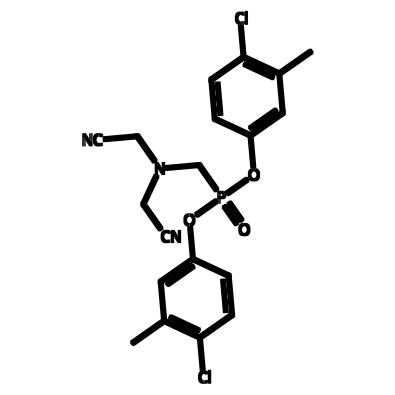 Cc1cc(OP(=O)(CN(CC#N)CC#N)Oc2ccc(Cl)c(C)c2)ccc1Cl